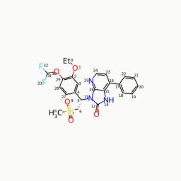 CCOc1cc([C@@H](CS(C)(=O)=O)n2c(=O)[nH]c3c(-c4ccccc4)ccnc32)ccc1OC(F)F